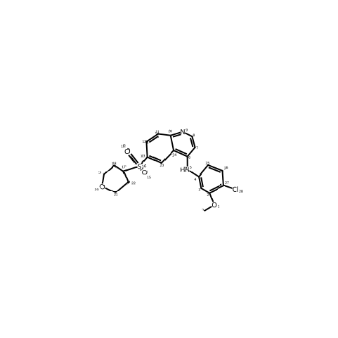 COc1cc(Nc2ccnc3ccc(S(=O)(=O)C4CCOCC4)cc23)ccc1Cl